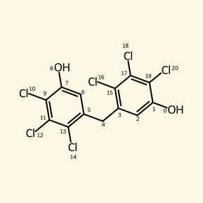 Oc1cc(Cc2cc(O)c(Cl)c(Cl)c2Cl)c(Cl)c(Cl)c1Cl